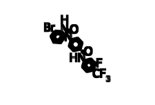 O=c1[nH]c2c(Br)cccc2n1[C@H]1CC[C@@H](C(=O)Nc2ccc(C(F)(F)F)c(F)c2)CC1